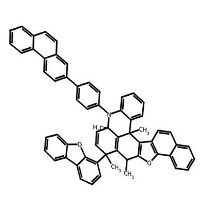 CC1C2=C3C(C)(c4ccccc4N(c4ccc(-c5ccc6c(ccc7ccccc76)c5)cc4)C3(C)C=CC2(C)c2cccc3c2oc2ccccc23)c2c1oc1c2ccc2ccccc21